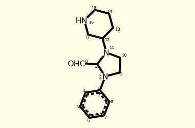 O=CC1N(c2ccccc2)CCN1C1CCCNC1